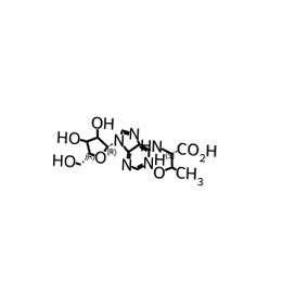 CC(O)[C@H](Nc1ncnc2c1ncn2[C@@H]1O[C@H](CO)C(O)C1O)C(=O)O